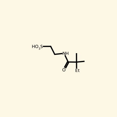 CCC(C)(C)C(=O)NCCS(=O)(=O)O